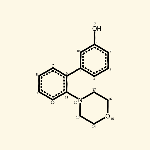 Oc1cc[c]c(-c2ccccc2N2CCOCC2)c1